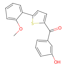 COc1ccccc1-c1ccc(C(=O)c2cccc(O)c2)s1